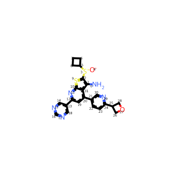 Nc1c([S+]([O-])C2CCC2)sc2nc(-c3cncnc3)cc(-c3ccc(C4COC4)nc3)c12